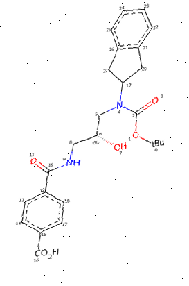 CC(C)(C)OC(=O)N(C[C@H](O)CNC(=O)c1ccc(C(=O)O)cc1)C1Cc2ccccc2C1